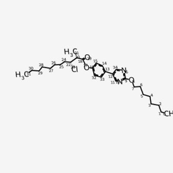 CCCCCCCCOc1ncc(-c2ccc(OC(=O)[C@@H](C)[C@H](Cl)CCCCCCCC)cc2)cn1